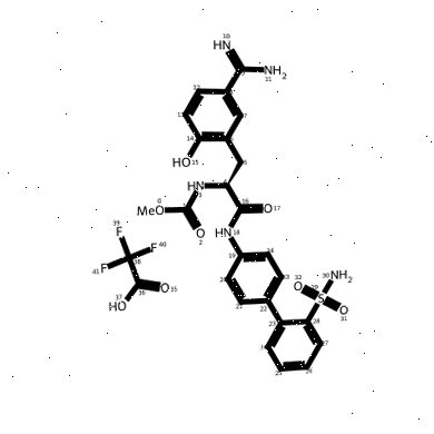 COC(=O)N[C@@H](Cc1cc(C(=N)N)ccc1O)C(=O)Nc1ccc(-c2ccccc2S(N)(=O)=O)cc1.O=C(O)C(F)(F)F